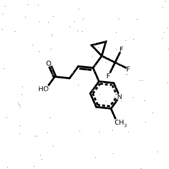 Cc1ccc(/C(=C\CC(=O)O)C2(C(F)(F)F)CC2)cn1